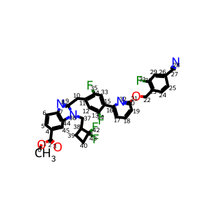 COC(=O)c1ccc2nc(Cc3cc(F)c(-c4cccc(OCc5ccc(C#N)cc5F)n4)cc3F)n(CC3CCC3(F)F)c2c1